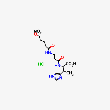 CC(c1c[nH]cn1)C(NC(=O)CCNC(=O)CCCCO[N+](=O)[O-])C(=O)O.Cl